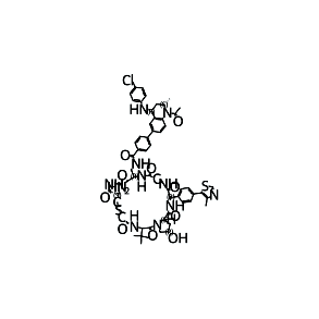 CC(=O)N1c2ccc(-c3ccc(C(=O)NC[C@H]4NC(=O)CNC(=O)[C@@H](c5ccc(-c6scnc6C)cc5)NC(=O)[C@@H]5C[C@@H](O)CN5C(=O)C(C(C)(C)C)NC(=O)CSC[C@H](C(N)=O)NC4=O)cc3)cc2[C@H](Nc2ccc(Cl)cc2)C[C@@H]1C